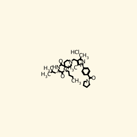 CCCCN1C(=O)[C@H](CC(C)C)NC(=O)C12CCN(Cc1c(C)nn(-c3ccc(C(=O)N4CCCC4)cc3)c1C)CC2.Cl